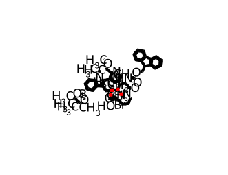 CCn1c(-c2cccnc2C(C)OC)c(CC(C)(C)CN2[C@H](C(=O)O)CCCN2C(=O)C(NC(=O)OCC2c3ccccc3-c3ccccc32)C(c2nc(Br)cs2)N(C)C)c2cc(B3OC(C)(C)C(C)(C)O3)ccc21